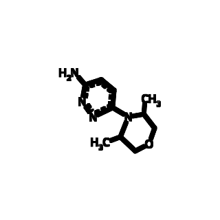 CC1COCC(C)N1c1ccc(N)nn1